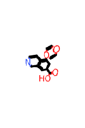 C1=COC=CO1.O=C(O)c1ccc2ccncc2c1